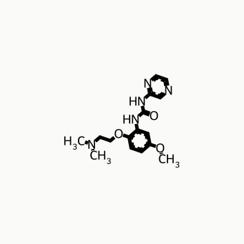 COc1ccc(OCCN(C)C)c(NC(=O)Nc2cnccn2)c1